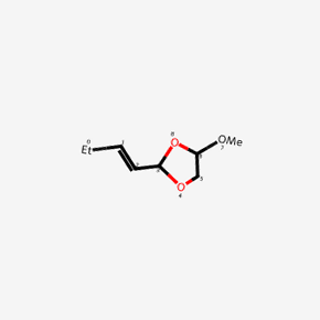 CCC=CC1OCC(OC)O1